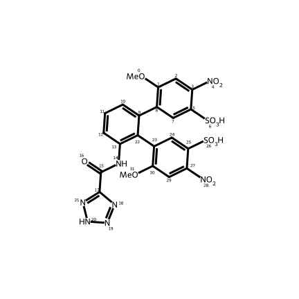 COc1cc([N+](=O)[O-])c(S(=O)(=O)O)cc1-c1cccc(NC(=O)c2nn[nH]n2)c1-c1cc(S(=O)(=O)O)c([N+](=O)[O-])cc1OC